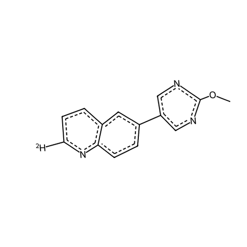 [2H]c1ccc2cc(-c3cnc(OC)nc3)ccc2n1